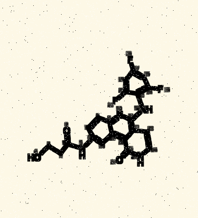 O=C(CCO)Nc1ccc2nc(Nc3c(F)cc(F)cc3F)c3cc[nH]c(=O)c3c2c1